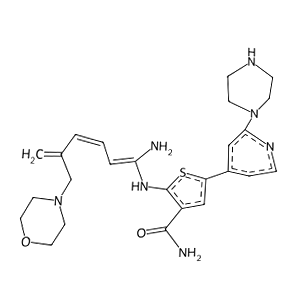 C=C(/C=C\C=C(/N)Nc1sc(-c2ccnc(N3CCNCC3)c2)cc1C(N)=O)CN1CCOCC1